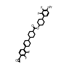 CCCc1ccc(C2CCC(OC(=O)C3CCC(C4CC=C(c5ccc(C6CO6)c(F)c5F)CC4)CC3)CC2)c(F)c1F